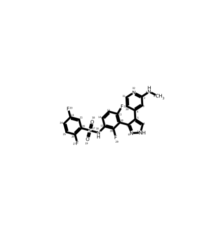 CNc1cc(-c2c[nH]nc2-c2c(F)ccc(NS(=O)(=O)c3cc(F)ccc3F)c2F)ccn1